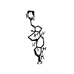 C[C@]12C=CC(=O)N[C@@H]1CC[C@@H]1[C@@H]2CC[C@]2(C)/C(=C/c3nccs3)CC[C@@H]12